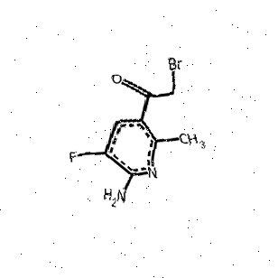 Cc1nc(N)c(F)cc1C(=O)CBr